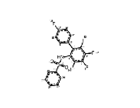 O=S(=O)(Nc1c(F)c(F)c(F)c(F)c1-c1ccc(F)cc1)c1ccccc1